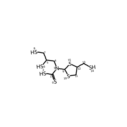 S=C(S)N(CC(S)CS)C1SCC(CS)S1